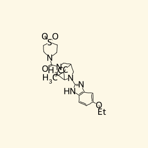 CCOc1ccc2[nH]c(N3CC4CN(C(=O)N5CCS(=O)(=O)CC5)CC3C(C)(C)C4)nc2c1